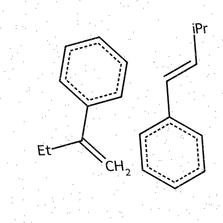 C=C(CC)c1ccccc1.CC(C)C=Cc1ccccc1